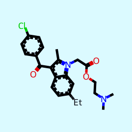 CCc1ccc2c(C(=O)c3ccc(Cl)cc3)c(C)n(CC(=O)OCCN(C)C)c2c1